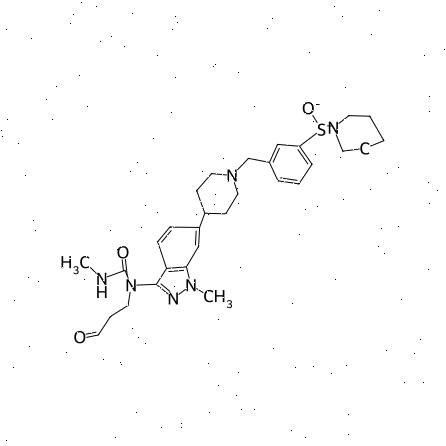 CNC(=O)N(CCC=O)c1nn(C)c2cc(C3CCN(Cc4cccc([S+]([O-])N5CCCCC5)c4)CC3)ccc12